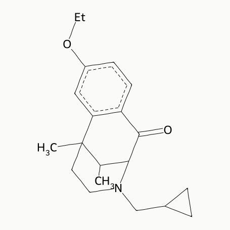 CCOc1ccc2c(c1)C1(C)CCN(CC3CC3)C(C2=O)C1C